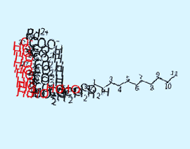 CCCCCCCCCCCC.O=C(O)O.O=C(O)O.O=C(O)O.O=C(O)O.O=C(O)O.O=C(O)O.O=C(O)O.O=C(O)O.O=C(O)O.O=C(O)O.O=C(O)O.O=C(O)O.O=C([O-])[O-].[Pd+2]